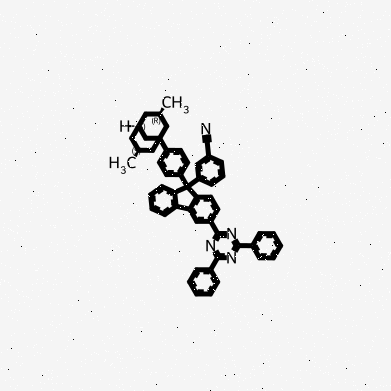 C[C@@H]1C[C@@H]2C[C@H](C)CC(c3ccc(C4(c5cccc(C#N)c5)c5ccccc5-c5cc(-c6nc(-c7ccccc7)nc(-c7ccccc7)n6)ccc54)cc3)(C1)C2